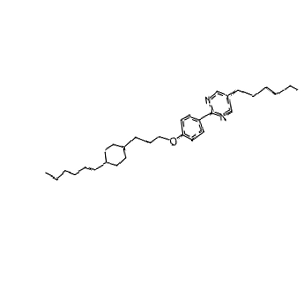 CCCCCCc1cnc(-c2ccc(OCCCC3CCC(CCCCCC)CC3)cc2)nc1